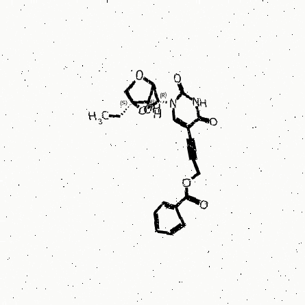 CC[C@@]12COC([C@H](n3cc(C#CCOC(=O)c4ccccc4)c(=O)[nH]c3=O)O1)[C@H]2O